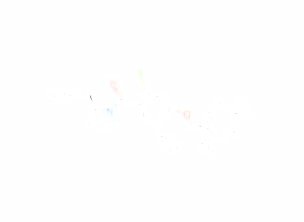 CC1(COc2cc(F)c(C(=O)N3CCC[C@H]3CC(=O)O)cc2C2CC2)CCC2(CC1)CC2